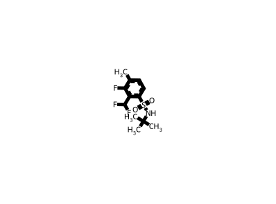 Cc1ccc(S(=O)(=O)NC(C)(C)C)c(C(F)F)c1F